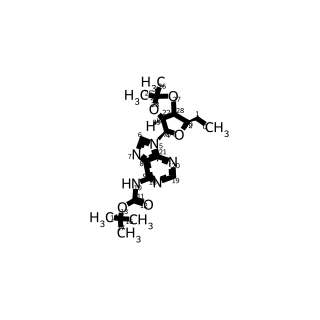 CC[C@H]1O[C@@H](n2cnc3c(NC(=O)OC(C)(C)C)ncnc32)[C@H]2OC(C)(C)OC12